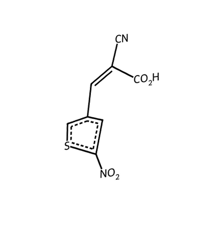 N#CC(=Cc1csc([N+](=O)[O-])c1)C(=O)O